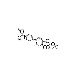 CCOC(=O)N1CC=C(c2ccc(OC(=O)OC(C)(C)C)c(=O)cc2)CC1